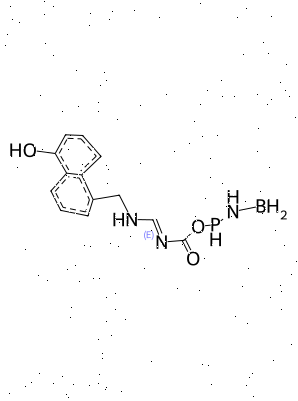 BNPOC(=O)/N=C/NCc1cccc2c(O)cccc12